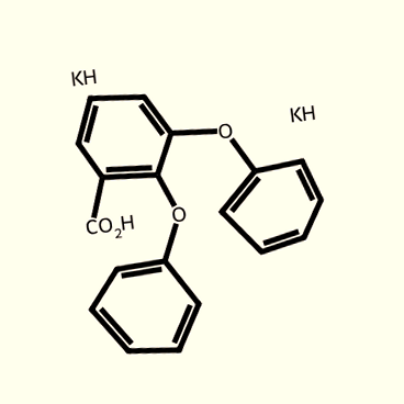 O=C(O)c1cccc(Oc2ccccc2)c1Oc1ccccc1.[KH].[KH]